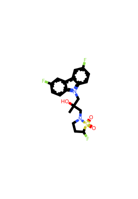 CC(O)(CN1CCC(F)S1(=O)=O)Cn1c2ccc(F)cc2c2cc(F)ccc21